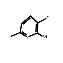 Cc1ccc(F)c(S)n1